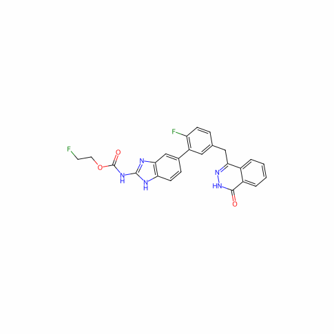 O=C(Nc1nc2cc(-c3cc(Cc4n[nH]c(=O)c5ccccc45)ccc3F)ccc2[nH]1)OCCF